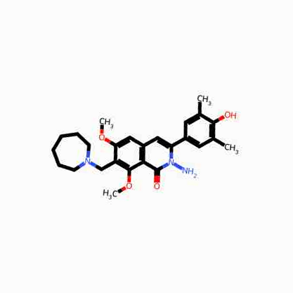 COc1cc2cc(-c3cc(C)c(O)c(C)c3)n(N)c(=O)c2c(OC)c1CN1CCCCCC1